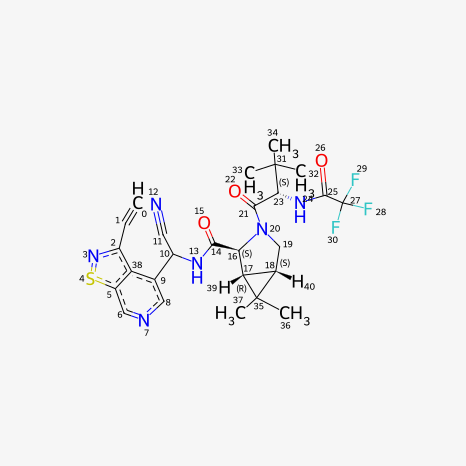 C#Cc1nsc2cncc(C(C#N)NC(=O)[C@@H]3[C@@H]4[C@H](CN3C(=O)[C@@H](NC(=O)C(F)(F)F)C(C)(C)C)C4(C)C)c12